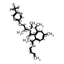 C=C/C=C\N=C(/C)C1=CC=C(C)CC(CC)=C1C(=O)N(CC)[C@@H](C)COc1cnc(C(F)(F)F)cn1